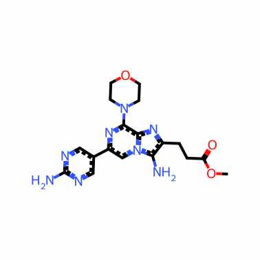 COC(=O)CCc1nc2c(N3CCOCC3)nc(-c3cnc(N)nc3)cn2c1N